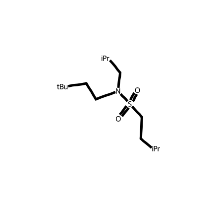 CC(C)CCS(=O)(=O)N(CCC(C)(C)C)CC(C)C